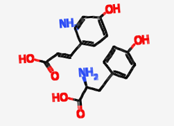 N.N[C@@H](Cc1ccc(O)cc1)C(=O)O.O=C(O)/C=C/c1ccc(O)cc1